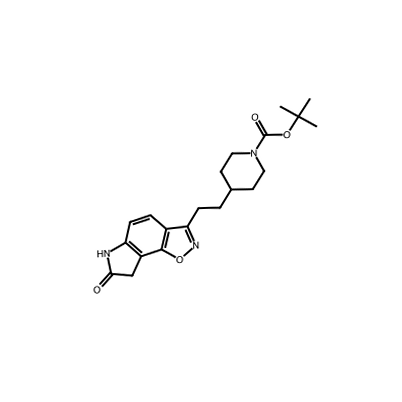 CC(C)(C)OC(=O)N1CCC(CCc2noc3c4c(ccc23)NC(=O)C4)CC1